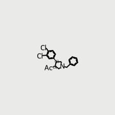 CC(=O)[C@@H]1CN(Cc2ccccc2)C[C@@H]1c1ccc(Cl)c(Cl)c1